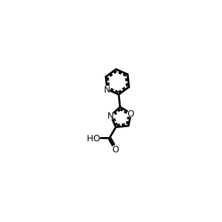 O=C(O)c1coc(-c2ccccn2)n1